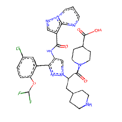 O=C(Nc1cn(C(CC2CCNCC2)C(=O)N2CCC(C(=O)O)CC2)nc1-c1cc(Cl)ccc1OC(F)F)c1cnn2cccnc12